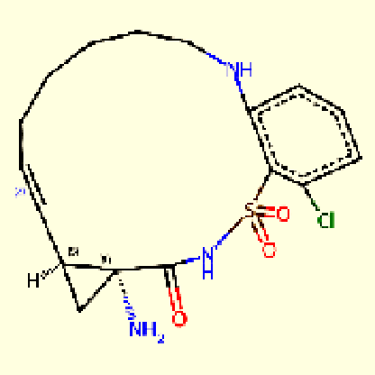 N[C@]12C[C@H]1/C=C\CCCCCNc1cccc(Cl)c1S(=O)(=O)NC2=O